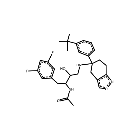 CC(=O)NC(Cc1cc(F)cc(F)c1)C(O)CNC1(c2cccc(C(C)(C)C)c2)CCc2nocc2C1